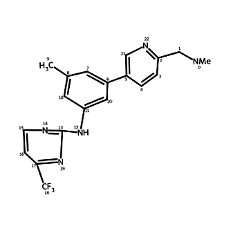 CNCc1ccc(-c2cc(C)cc(Nc3nccc(C(F)(F)F)n3)c2)cn1